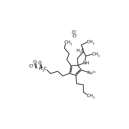 CCCCC1=[C]([Ru+3])C(CCCC)(NC(C)C)C(CCCC)=C1CCCC.[C]=O.[C]=O.[Cl-].[Cl-].[Cl-]